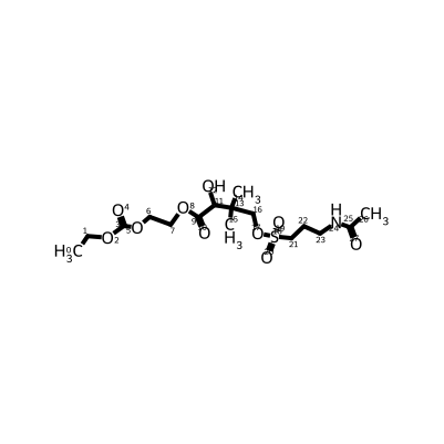 CCOC(=O)OCCOC(=O)C(O)C(C)(C)COS(=O)(=O)CCCNC(C)=O